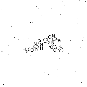 COc1cnc(C(=O)Nc2ccc3c(c2)[C@@]2(CCOC(NC(=O)c4ccccc4)=N2)c2cc(Br)cnc2O3)cn1